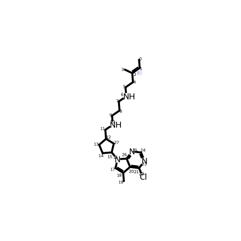 C/C=C(\C)CCNCCCNCC1CCC(n2cc(C)c3c(Cl)ncnc32)C1